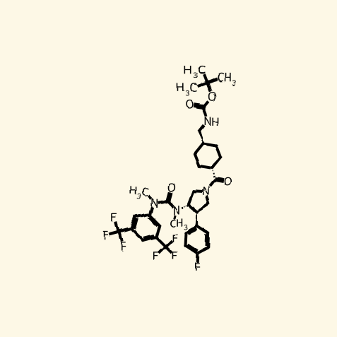 CN(C(=O)N(C)[C@@H]1CN(C(=O)[C@H]2CC[C@H](CNC(=O)OC(C)(C)C)CC2)C[C@H]1c1ccc(F)cc1)c1cc(C(F)(F)F)cc(C(F)(F)F)c1